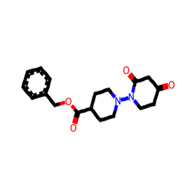 O=C1CCN(N2CCC(C(=O)OCc3ccccc3)CC2)C(=O)C1